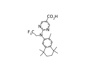 Cc1cc2c(cc1N(CC(F)(F)F)c1ncc(C(=O)O)cn1)C(C)(C)CCC2(C)C